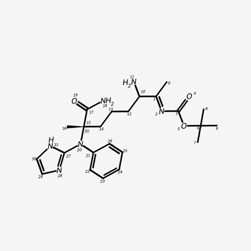 CC(=NC(=O)OC(C)(C)C)C(N)CCC[C@@](C)(C(N)=O)N(c1ccccc1)c1ncc[nH]1